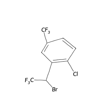 FC(F)(F)c1ccc(Cl)c(C(Br)C(F)(F)F)c1